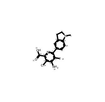 CN1CCc2cc(-c3nc(C(=O)O)c(Cl)c(N)c3F)ccc21